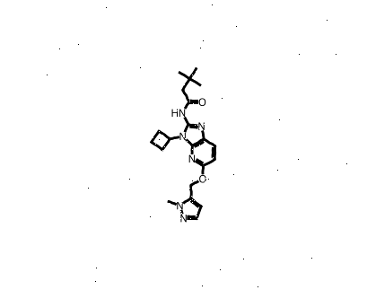 Cn1nccc1COc1ccc2nc(NC(=O)CC(C)(C)C)n(C3CCC3)c2n1